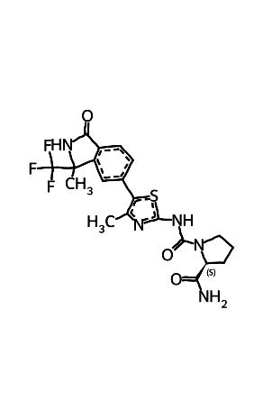 Cc1nc(NC(=O)N2CCC[C@H]2C(N)=O)sc1-c1ccc2c(c1)C(C)(C(F)(F)F)NC2=O